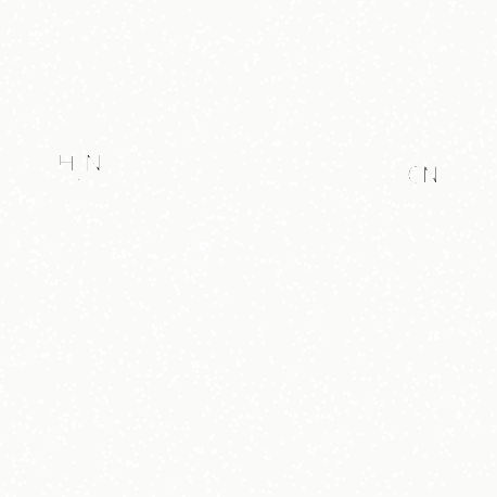 CC(=C/C=C(\C)N)/C=C/C#N